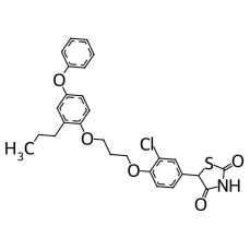 CCCc1cc(Oc2ccccc2)ccc1OCCCOc1ccc(C2SC(=O)NC2=O)cc1Cl